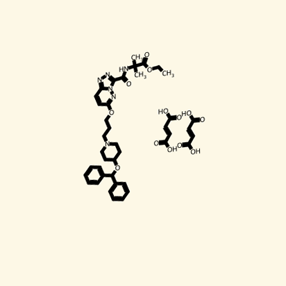 CCOC(=O)C(C)(C)NC(=O)c1nnc2ccc(OCCCN3CCC(OC(c4ccccc4)c4ccccc4)CC3)nn12.O=C(O)C=CC(=O)O.O=C(O)C=CC(=O)O